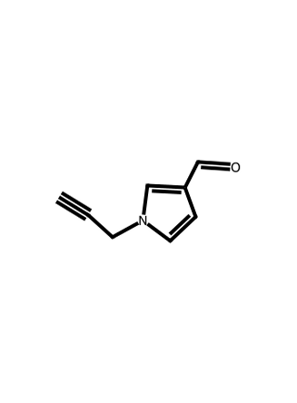 C#CCn1ccc(C=O)c1